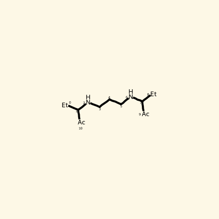 CCC(NCCCNC(CC)C(C)=O)C(C)=O